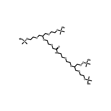 CC(C)(C)[Si](C)(C)OCCOCC(COCCO[Si](C)(C)C(C)(C)C)OCCOCC(=O)NCCOCCOC(COCCO[Si](C)(C)C(C)(C)C)COO[Si](C)(C)C(C)(C)C